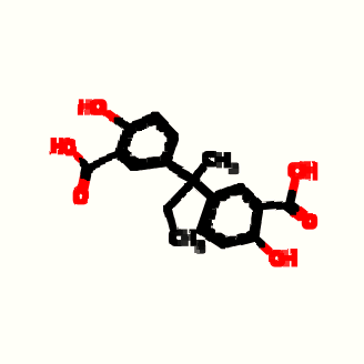 CCC(C)(c1ccc(O)c(C(=O)O)c1)c1ccc(O)c(C(=O)O)c1